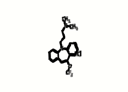 CN(C)CCCN1c2ccccc2C=C(OC(F)(F)F)c2ccccc21.Cl